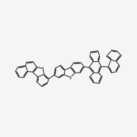 c1ccc2c(-c3c4ccccc4c(-c4ccc5c(c4)sc4cc(-c6cccc7c6sc6ccc8ccccc8c67)ccc45)c4ccccc34)cccc2c1